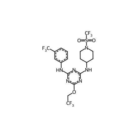 O=S(=O)(N1CCC(Nc2nc(Nc3cccc(C(F)(F)F)c3)nc(OCC(F)(F)F)n2)CC1)C(F)(F)F